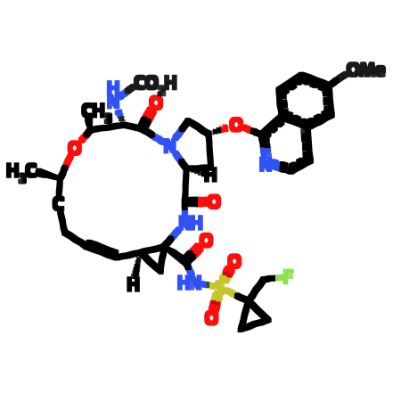 COc1ccc2c(O[C@@H]3C[C@H]4C(=O)N[C@]5(C(=O)NS(=O)(=O)C6(CF)CC6)C[C@H]5C=CCC[C@@H](C)O[C@@H](C)[C@H](NC(=O)O)C(=O)N4C3)nccc2c1